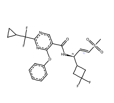 CS(=O)(=O)/C=C/[C@H](NC(=O)c1cnc(C(F)(F)C2CC2)nc1Oc1ccccc1)C1CC(F)(F)C1